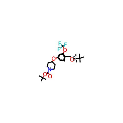 CC(C)(C)OC(=O)N1CCC(Oc2ccc(CO[Si](C)(C)C(C)(C)C)c(OC(F)(F)F)c2)CC1